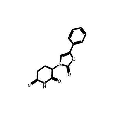 O=C1CCC(n2cc(-c3ccccc3)oc2=O)C(=O)N1